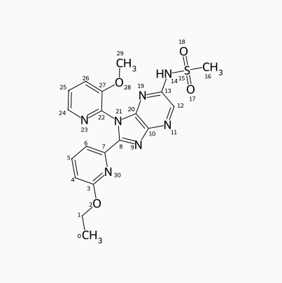 CCOc1cccc(-c2nc3ncc(NS(C)(=O)=O)nc3n2-c2ncccc2OC)n1